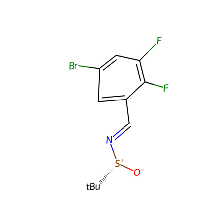 CC(C)(C)[S@@+]([O-])N=Cc1cc(Br)cc(F)c1F